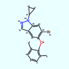 Cc1cccc(C)c1Oc1cc2cnn(C3CC3)c2cc1Br